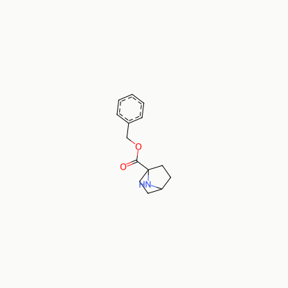 O=C(OCc1ccccc1)C12CCC(CC1)N2